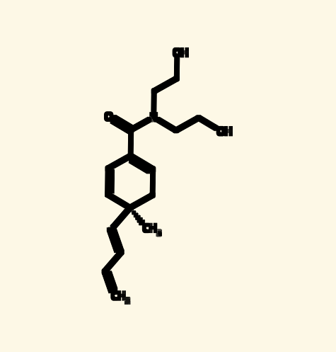 C=C/C=C/[C@@]1(C)C=CC(C(=O)N(CCO)CCO)=CC1